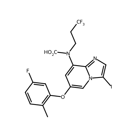 Cc1ccc(F)cc1Oc1cc(N(CCC(F)(F)F)C(=O)O)c2ncc(I)n2c1